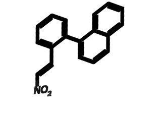 O=[N+]([O-])C=Cc1ccccc1-c1cccc2ccccc12